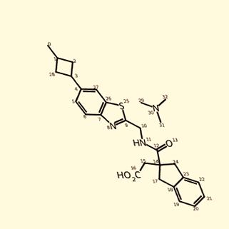 CC1CC(c2ccc3nc(CNC(=O)C4(CC(=O)O)Cc5ccccc5C4)sc3c2)C1.CN(C)C